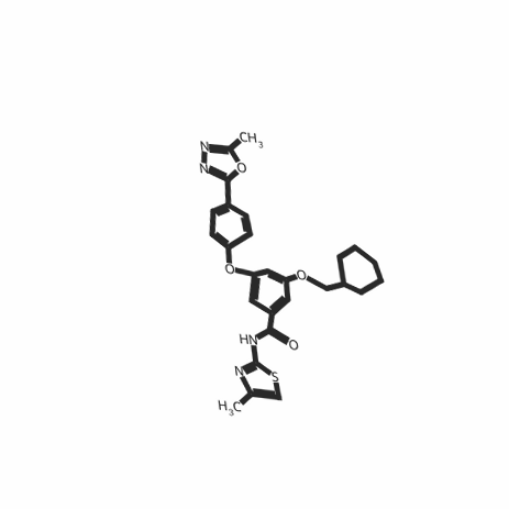 Cc1csc(NC(=O)c2cc(OCC3CCCCC3)cc(Oc3ccc(-c4nnc(C)o4)cc3)c2)n1